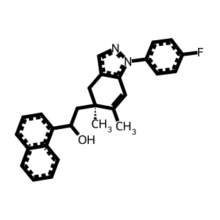 CC1=Cc2c(cnn2-c2ccc(F)cc2)C[C@]1(C)CC(O)c1cccc2ccccc12